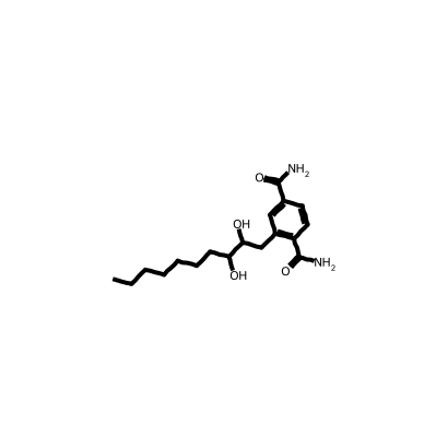 CCCCCCCC(O)C(O)Cc1cc(C(N)=O)ccc1C(N)=O